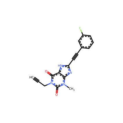 C#CCn1c(=O)c2[nH]c(C#Cc3cccc(F)c3)nc2n(C)c1=O